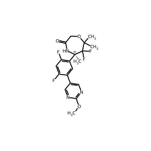 COc1ncc(-c2cc([C@@]3(C)NC(=O)COC(C)(C)C3(F)F)c(F)cc2F)cn1